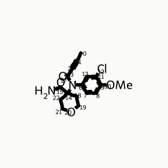 CC#CC(=O)N(c1ccc(OC)c(Cl)c1)C1(C(N)=O)CCOCC1